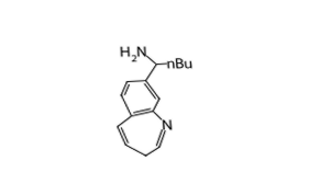 CCCCC(N)c1ccc2c(c1)N=CCC=C2